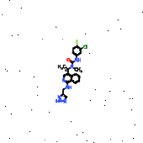 C[C@H](c1cnc(NCc2cn[nH]n2)c2ccccc12)N(C)C(=O)Nc1ccc(F)c(Cl)c1